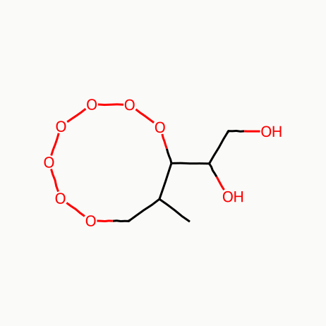 CC1COOOOOOOC1C(O)CO